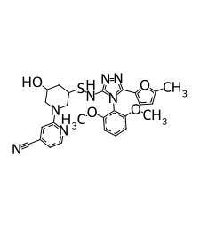 COc1cccc(OC)c1-n1c(NSC2CC(O)CN(c3cc(C#N)ccn3)C2)nnc1-c1ccc(C)o1